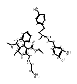 CC(CCc1ccc(O)cc1)NCCc1ccc(O)c(O)c1.CCOC(=O)C1=C(COCCN)NC(C)=C(C(=O)OC)C1c1ccccc1Cl